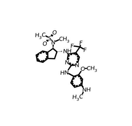 CNc1ccc(Nc2ncc(C(F)(F)F)c(N[C@@H]3Cc4ccccc4[C@H]3N(C)S(C)(=O)=O)n2)c(OC)c1